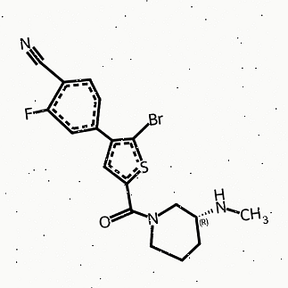 CN[C@@H]1CCCN(C(=O)c2cc(-c3ccc(C#N)c(F)c3)c(Br)s2)C1